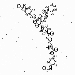 O=C(NCCOCC(=O)N1CCN(C(=O)[C@@H]2C[C@H](SC(=O)c3ccccc3)CN2C(=O)OCc2ccc([N+](=O)[O-])cc2)CC1)OCc1ccc([N+](=O)[O-])cc1